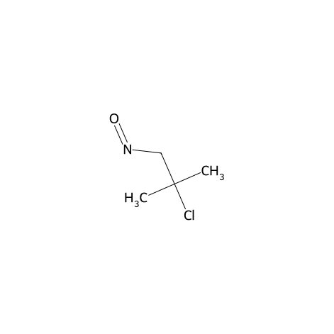 CC(C)(Cl)CN=O